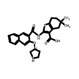 CC1(C)CCc2sc(NC(=O)c3cc4ccccc4cc3O[C@H]3CCNC3)c(C(=O)O)c2C1